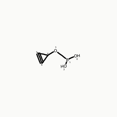 OB(O)OC1C#C1